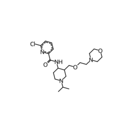 CC(C)N1CCC(NC(=O)c2cccc(Cl)n2)C(COCCN2CCOCC2)C1